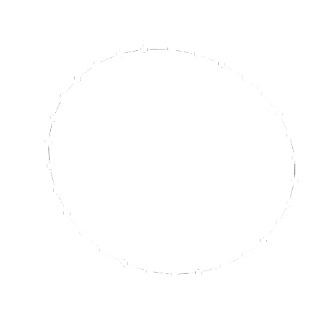 C1COCCOCCOCCOCCOCCOCCOCCOCCOCCO1